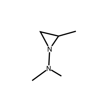 CC1CN1N(C)C